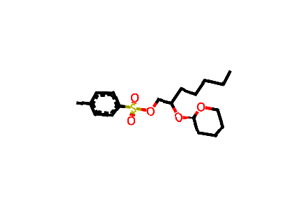 CCCCCC(COS(=O)(=O)c1ccc(C)cc1)O[C@@H]1CCCCO1